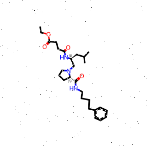 CCOC(=O)CCC(=O)N[C@@H](CC(C)C)CN1CCC[C@H]1C(=O)NCCCCc1ccccc1